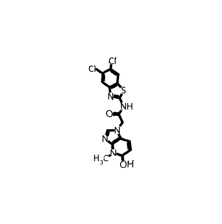 CN1c2ncn(CC(=O)Nc3nc4cc(Cl)c(Cl)cc4s3)c2C=CC1O